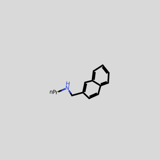 CCCNCc1ccc2ccccc2c1